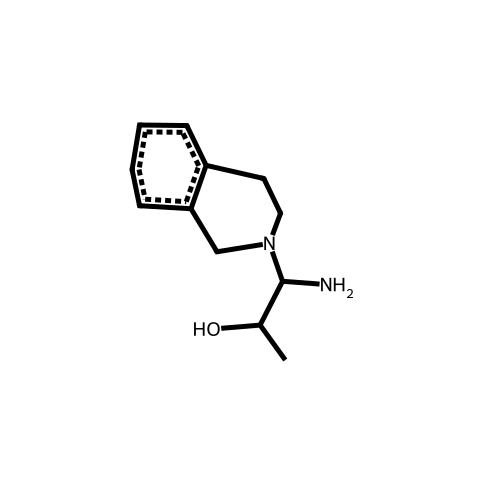 CC(O)C(N)N1CCc2ccccc2C1